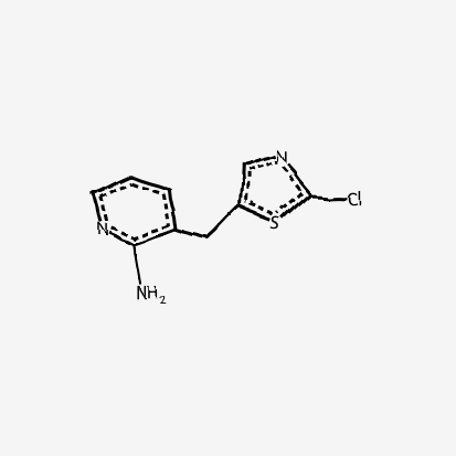 Nc1ncccc1Cc1cnc(Cl)s1